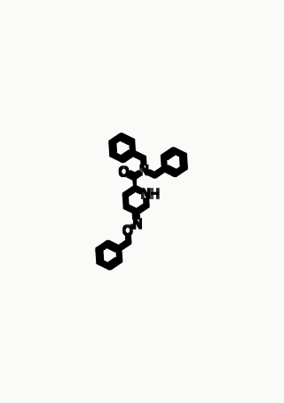 O=C([C@@H]1CC/C(=N\OCc2ccccc2)CN1)N(Cc1ccccc1)Cc1ccccc1